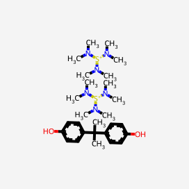 CC(C)(c1ccc(O)cc1)c1ccc(O)cc1.CN(C)[S+](N(C)C)N(C)C.CN(C)[S+](N(C)C)N(C)C